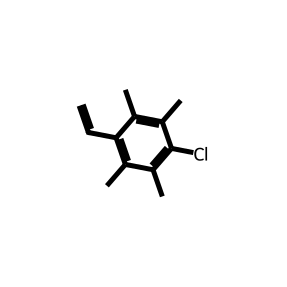 C=Cc1c(C)c(C)c(Cl)c(C)c1C